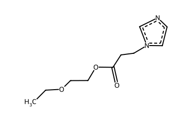 CCOCCOC(=O)CCn1ccnc1